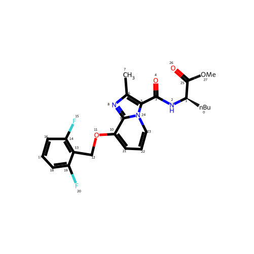 CCCC[C@@H](NC(=O)c1c(C)nc2c(OCc3c(F)cccc3F)cccn12)C(=O)OC